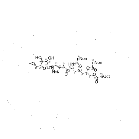 CCCCCCCCCC(=O)N[C@H](CSCC(COC(=O)CCCCCCCC)OC(=O)CCCCCCCCC)C(=O)Nc1cn([C@H]2OC(CO)[C@@H](O)[C@H]2O)nn1